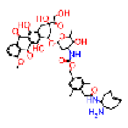 COc1cccc2c1C(=O)c1c(O)c3c(c(O)c1C2=O)C[C@@](O)(C(=O)CO)C[C@@H]3O[C@H]1CC(NC(=O)OCc2cc(C)c(CC(=O)NC3CC/C=C/CCC3N)c(C)c2)[C@H](O)C(C)O1